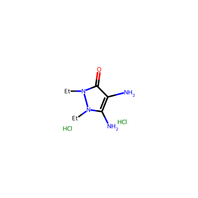 CCn1c(N)c(N)c(=O)n1CC.Cl.Cl